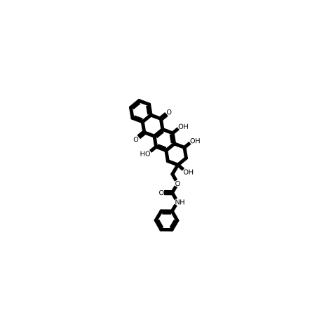 O=C(Nc1ccccc1)OCC1(O)Cc2c(O)c3c(c(O)c2C(O)C1)C(=O)c1ccccc1C3=O